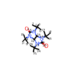 CC(C)(C)N1C(=O)N(C(C)(C)C)C2C1N(C(C)(C)C)C(=O)N2C(C)(C)C